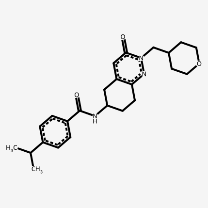 CC(C)c1ccc(C(=O)NC2CCc3nn(CC4CCOCC4)c(=O)cc3C2)cc1